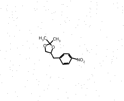 CC1(C)OCC(Cc2ccc([N+](=O)[O-])cc2)O1